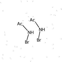 CC(=O)NBr.CC(=O)NBr